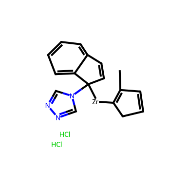 CC1=[C]([Zr][C]2(n3cnnc3)C=Cc3ccccc32)CC=C1.Cl.Cl